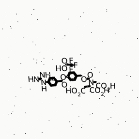 N=C(N)Nc1ccc(C(=O)Oc2ccc(COC(=O)N(CC(=O)O)C(CC(=O)O)C(=O)O)cc2)cc1.O=C(O)C(F)(F)F